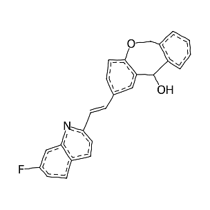 OC1c2ccccc2COc2ccc(/C=C/c3ccc4ccc(F)cc4n3)cc21